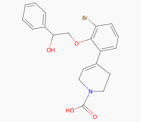 O=C(O)N1CC=C(c2cccc(Br)c2OCC(O)c2ccccc2)CC1